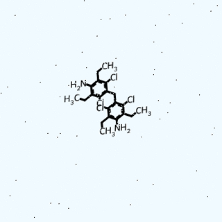 CCc1c(N)c(CC)c(Cl)c(Cc2c(Cl)c(CC)c(N)c(CC)c2Cl)c1Cl